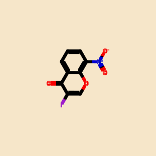 O=c1c(I)coc2c([N+](=O)[O-])cccc12